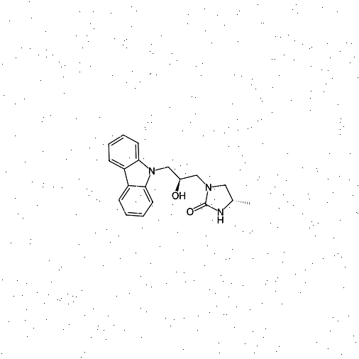 C[C@H]1CN(C[C@@H](O)Cn2c3ccccc3c3ccccc32)C(=O)N1